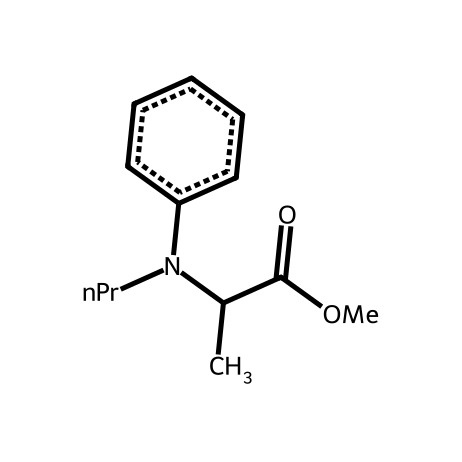 CCCN(c1ccccc1)C(C)C(=O)OC